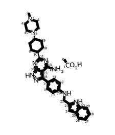 CC(=O)O.CN1CCN([C@H]2CC[C@H](c3nc(N)c4c(-c5ccc(NCc6cc7ccccc7[nH]6)cc5)n[nH]c4n3)CC2)CC1